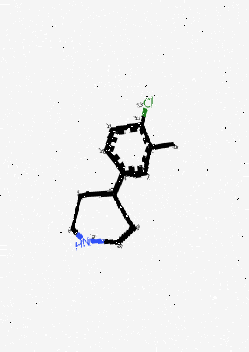 Cc1cc(C2CCNCC2)ccc1Cl